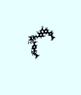 Cc1cc(CCc2nc(C)c(C)c(NC(C)c3ccc(-c4nnc(C5CC5)o4)cc3)n2)c(C)c(CC(C)c2ccc(C3=CC=C(C4CC4)C3)cc2)c1